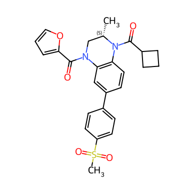 C[C@H]1CN(C(=O)c2ccco2)c2cc(-c3ccc(S(C)(=O)=O)cc3)ccc2N1C(=O)C1CCC1